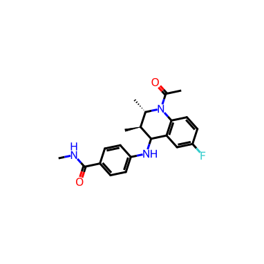 CNC(=O)c1ccc(NC2c3cc(F)ccc3N(C(C)=O)[C@@H](C)[C@@H]2C)cc1